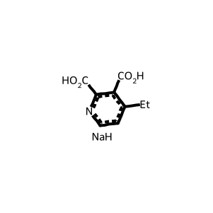 CCc1ccnc(C(=O)O)c1C(=O)O.[NaH]